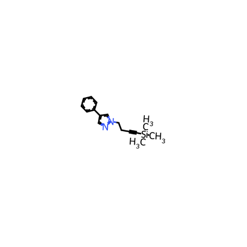 C[Si](C)(C)C#CCCn1cc(-c2ccccc2)cn1